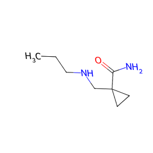 CCCNCC1(C(N)=O)CC1